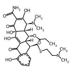 CCC(=O)O[C@H]1[C@H]2C(=C(O)[C@]3(O)C(=O)C(C(N)=O)=C(O)[C@@H](N(C)C)[C@H]13)C(=O)c1c(O)cccc1[C@@H]2CSCCN(C)C